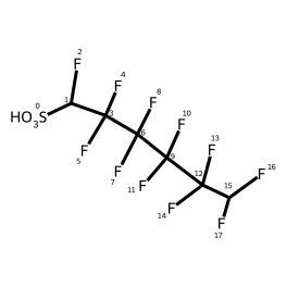 O=S(=O)(O)C(F)C(F)(F)C(F)(F)C(F)(F)C(F)(F)C(F)F